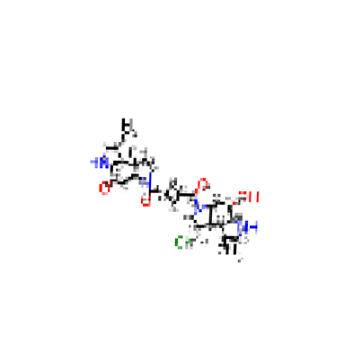 Cc1c[nH]c2c1C1(C)CCN(C(=O)C34CC(C(=O)N5C[C@@H](CCl)c6c5cc(O)c5[nH]cc(C)c65)(C3)C4)C1=CC2=O